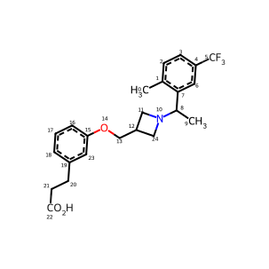 Cc1ccc(C(F)(F)F)cc1C(C)N1CC(COc2cccc(CCC(=O)O)c2)C1